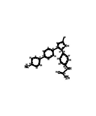 Cc1cc(-c2ccc(-c3ccc(C#N)cc3)cc2)n(-c2ccc(NC(N)=O)cc2)n1